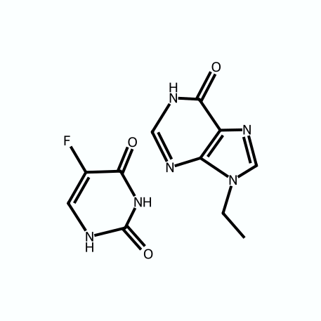 CCn1cnc2c(=O)[nH]cnc21.O=c1[nH]cc(F)c(=O)[nH]1